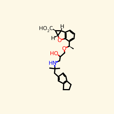 C[C@@H](OCC(O)CNC(C)(C)Cc1ccc2c(c1)CCC2)c1cccc2c1O[C@@H]1[C@@H](C(=O)O)[C@H]21